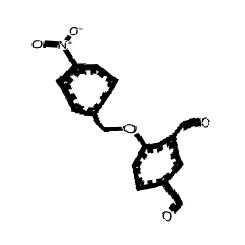 O=Cc1ccc(OCc2ccc([N+](=O)[O-])cc2)c(C=O)c1